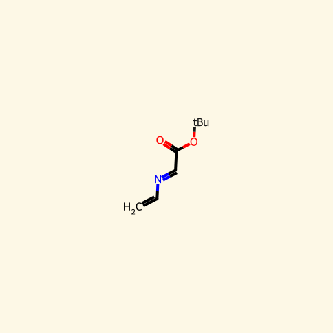 C=C/N=C/C(=O)OC(C)(C)C